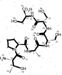 C[C@H](NC(=O)[C@@H]1CCCN1C(=O)[C@@H](N)[C@@H](C)O)C(=O)N[C@@H](CO)C(=O)N[C@@H](CO)C(=O)N[C@@H](CO)C(=O)O